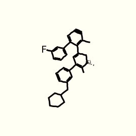 CC1=C(c2cccc(CC3CCCCC3)c2)C=C(c2c(C)c#ccc2-c2cccc(F)c2)C[C@@H]1C